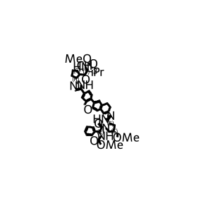 COC[C@H]1C[C@@H](c2nc3c([nH]2)-c2cc4c(cc2CC3)-c2ccc(-c3cnc([C@@H]5CC[C@H](C)C5C(=O)[C@@H](NC(=O)OC)C(C)C)[nH]3)cc2CO4)N(C(=O)[C@H](NC(=O)OC)c2ccccc2)C1